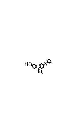 CCC(c1ccc(O)cc1)c1ccc(C(C)(C)c2ccccc2)cc1